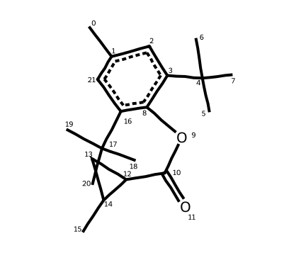 Cc1cc(C(C)(C)C)c(OC(=O)C2CC2C)c(C(C)(C)C)c1